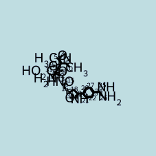 Cc1noc(C)c1S(=O)(=O)[C@](N)(CNC(=O)C[C@@H]1CC(c2ccc(C(=N)N)cc2)NO1)C(=O)O